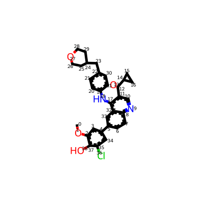 COc1cc(-c2ccc3ncc(C(=O)C4CC4)c(Nc4ccc(CC5CCOCC5)cc4)c3c2)cc(Cl)c1O